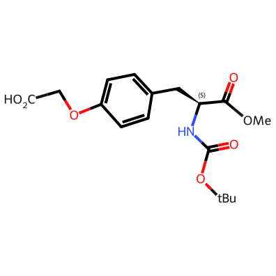 COC(=O)[C@H](Cc1ccc(OCC(=O)O)cc1)NC(=O)OC(C)(C)C